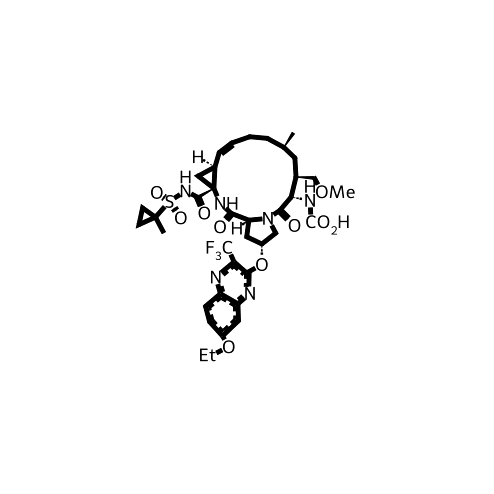 CCOc1ccc2nc(C(F)(F)F)c(O[C@@H]3C[C@H]4C(=O)N[C@]5(C(=O)NS(=O)(=O)C6(C)CC6)C[C@H]5C=CCC[C@@H](C)C[C@@H](COC)[C@H](NC(=O)O)C(=O)N4C3)nc2c1